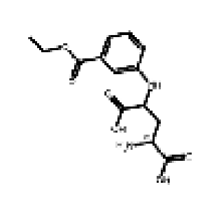 CCOC(=O)c1cccc(NC(C[C@H](N)C(=O)O)C(=O)O)c1